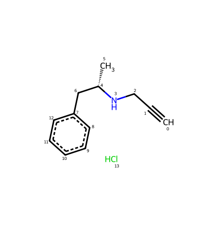 C#CCN[C@@H](C)Cc1ccccc1.Cl